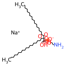 CCCCCCCCCCCCCCCCCC(=O)C(OP(=O)([O-])OCCN)(C(=O)CCCCCCCCCCCCCCCCC)[C@@H](O)CO.[Na+]